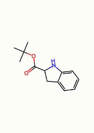 CC(C)(C)OC(=O)C1Cc2ccccc2N1